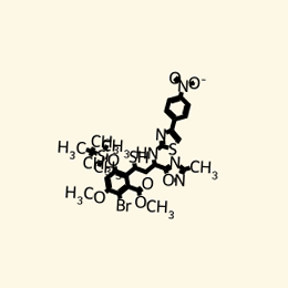 COC(=O)c1c(Br)c(OC)cc(O[Si](C)(C)C(C)(C)C)c1C(S)CC(Nc1nc(-c2ccc([N+](=O)[O-])cc2)cs1)c1nc(C)no1